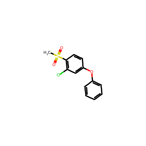 CS(=O)(=O)c1ccc(Oc2[c]cccc2)cc1Cl